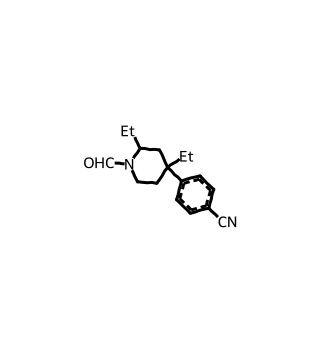 CCC1CC(CC)(c2ccc(C#N)cc2)CCN1C=O